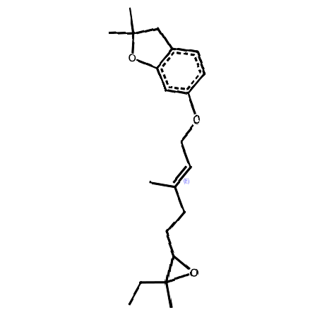 CCC1(C)OC1CC/C(C)=C/COc1ccc2c(c1)OC(C)(C)C2